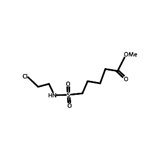 COC(=O)CCCCS(=O)(=O)NCCCl